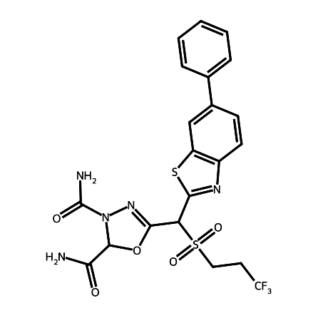 NC(=O)C1OC(C(c2nc3ccc(-c4ccccc4)cc3s2)S(=O)(=O)CCC(F)(F)F)=NN1C(N)=O